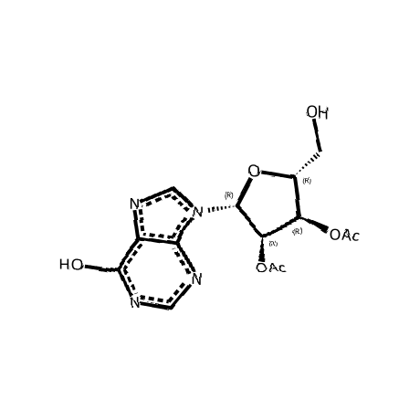 CC(=O)O[C@@H]1[C@H](OC(C)=O)[C@@H](CO)O[C@H]1n1cnc2c(O)ncnc21